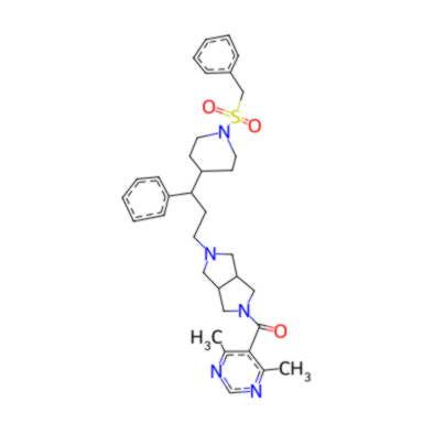 Cc1ncnc(C)c1C(=O)N1CC2CN(CCC(c3ccccc3)C3CCN(S(=O)(=O)Cc4ccccc4)CC3)CC2C1